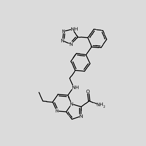 CCc1cc(NCc2ccc(-c3ccccc3-c3nnn[nH]3)cc2)n2c(C(N)=O)ncc2n1